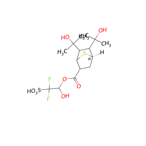 CC(C)(O)C1C2S[C@H](CC2C(=O)OC(O)C(F)(F)S(=O)(=O)O)C1C(C)(C)O